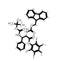 CC(C)(C)OC(=O)N[C@H](c1ccccc1)[C@H](NC(=O)OCC1c2ccccc2-c2ccccc21)C(=O)Oc1c(F)c(F)c(F)c(F)c1F